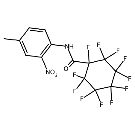 Cc1ccc(NC(=O)C2(F)C(F)(F)C(F)(F)C(F)(F)C(F)(F)C2(F)F)c([N+](=O)[O-])c1